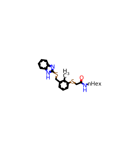 CCCCCCNC(=O)CSc1cccc(CSc2nc3ccccc3[nH]2)c1C